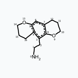 NCCc1c2c(cc3c1OCCC3)OCCC2